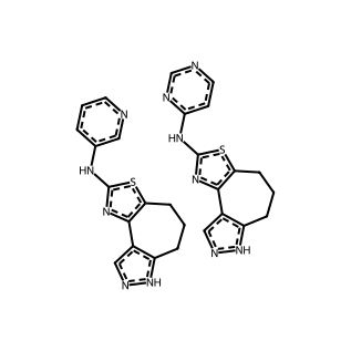 c1cc(Nc2nc3c(s2)CCCc2[nH]ncc2-3)ncn1.c1cncc(Nc2nc3c(s2)CCCc2[nH]ncc2-3)c1